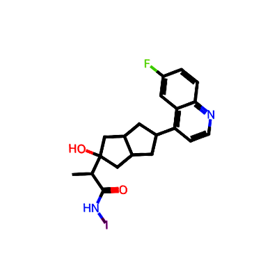 CC(C(=O)NI)C1(O)CC2CC(c3ccnc4ccc(F)cc34)CC2C1